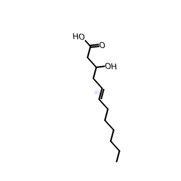 CCCCCC/C=C/CC(O)CC(=O)O